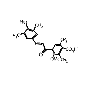 COc1c(C(=O)C=Cc2cc(C)c(O)c(C)c2)cc(C)c(C(=O)O)c1C